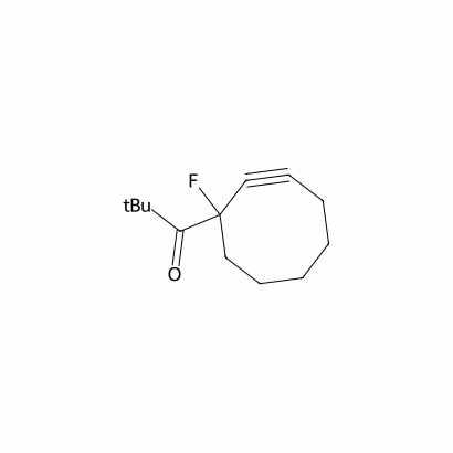 CC(C)(C)C(=O)C1(F)C#CCCCCC1